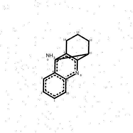 N.c1ccc2c3c4c(nc2c1)C3CCC4